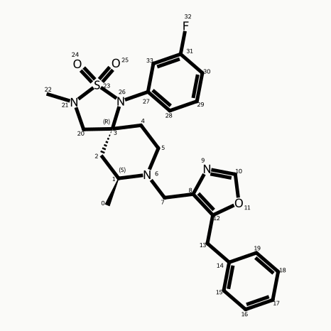 C[C@H]1C[C@]2(CCN1Cc1ncoc1Cc1ccccc1)CN(C)S(=O)(=O)N2c1cccc(F)c1